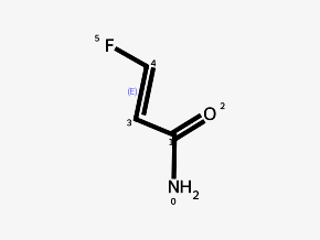 NC(=O)/C=C/F